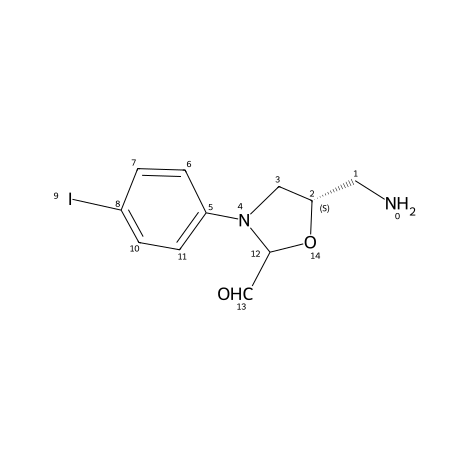 NC[C@H]1CN(c2ccc(I)cc2)C(C=O)O1